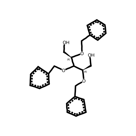 OC[C@@H](OCc1ccccc1)C(OCc1ccccc1)[C@@H](CO)OCc1ccccc1